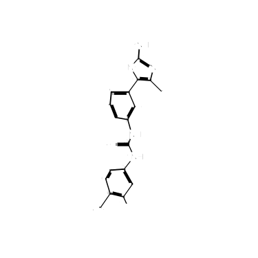 Cc1nc(N)[nH]c1-c1cccc(NC(=O)Nc2ccc(Cl)c(Cl)c2)c1